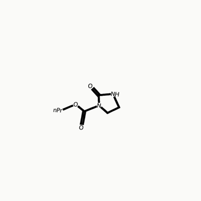 CCCOC(=O)N1CCNC1=O